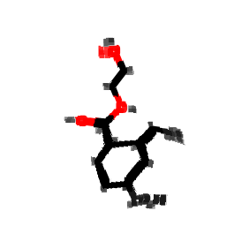 CCC=C1C=C(C(=O)O)C=CC1C(=O)OCCO